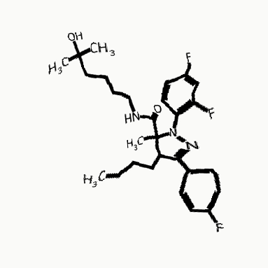 CCCCC1C(c2ccc(F)cc2)=NN(c2ccc(F)cc2F)C1(C)C(=O)NCCCCC(C)(C)O